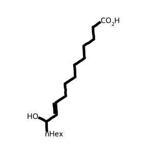 CCCCCCC(O)C=CCCCCCCCCC(=O)O